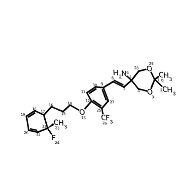 CC1(C)OCC(N)(/C=C/c2ccc(OCCCC3C=CC=C[C@@]3(C)F)c(C(F)(F)F)c2)CO1